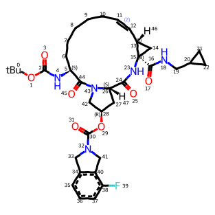 CC(C)(C)OC(=O)N[C@H]1CCCCC/C=C\[C@@H]2C[C@@]2(C(=O)NCC2CC2)NC(=O)[C@@H]2C[C@@H](OC(=O)N3Cc4cccc(F)c4C3)CN2C1=O